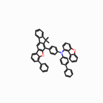 CC1(C)c2ccccc2-c2cc3c(oc4c(-c5ccccc5)cccc43)c(-c3ccc(N(c4ccc(-c5ccccc5)cc4)c4cccc5oc6ccccc6c45)cc3)c21